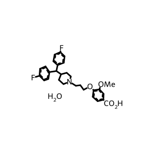 COc1cc(C(=O)O)ccc1OCCCN1CCC(C(c2ccc(F)cc2)c2ccc(F)cc2)CC1.O